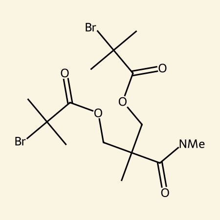 CNC(=O)C(C)(COC(=O)C(C)(C)Br)COC(=O)C(C)(C)Br